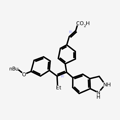 CCCCOc1cccc(/C(CC)=C(\c2ccc(/C=C/C(=O)O)cc2)c2ccc3c(c2)CNN3)c1